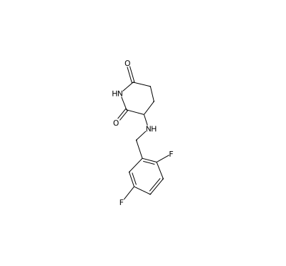 O=C1CCC(NCc2cc(F)ccc2F)C(=O)N1